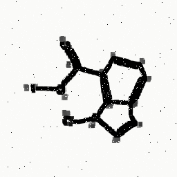 O=C(OF)c1cccc2ccn(Cl)c12